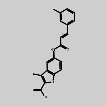 Cc1c(C(=O)O)oc2ccc(NC(=O)/C=C/c3cccc(I)c3)cc12